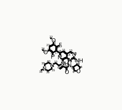 C=CC(=O)N[C@H]1COC[C@H]1Nc1ncc2cc(-c3c(F)c(OC)cc(OC)c3F)nc(NCCN3CCN(C)CC3)c2n1